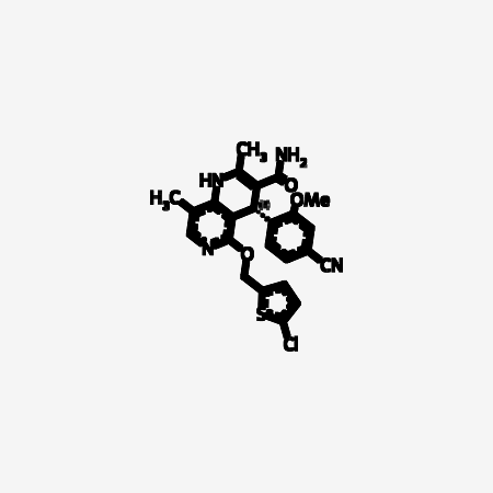 COc1cc(C#N)ccc1[C@H]1C(C(N)=O)=C(C)Nc2c(C)cnc(OCc3ccc(Cl)s3)c21